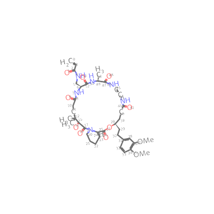 C=CC(=O)NC[C@@H]1NC(=O)CCC(C)(C)C(=O)C(=O)N2CCCC[C@H]2C(=O)O[C@H](CCc2ccc(OC)c(OC)c2)CCC(=O)NCCNC(=O)[C@H](C)NC1=O